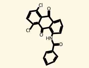 O=C(Nc1cccc2c1C(=O)c1c(Cl)ccc(Cl)c1C2=O)c1ccccc1